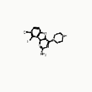 NC1=NC2c3c(ccc(Cl)c3Cl)OC2C(N2CCNCC2)=N1